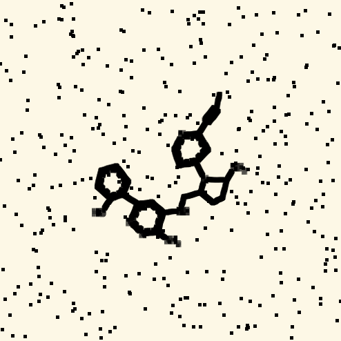 CC#Cc1cc(N2C(N)CCC2CNc2cc(-c3ccccc3O)nnc2N)ccn1